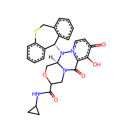 O=C(NC1CC1)C1CN2C(=O)c3c(O)c(=O)ccn3N([C@H]3c4ccccc4CSc4ccccc43)[C@@H]2CO1